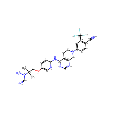 CC(C)(COc1ccc(Nc2ncnc3c2CCN(c2ccc(C#N)c(C(F)(F)F)c2)C3)nc1)N(N)C=N